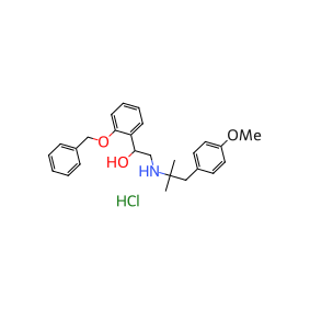 COc1ccc(CC(C)(C)NCC(O)c2ccccc2OCc2ccccc2)cc1.Cl